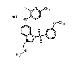 CNCc1cn(S(=O)(=O)c2cccc(OC)c2)c2cc(Nc3ccc(C)nc3Cl)ccc12.Cl